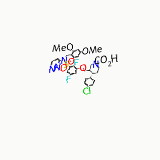 COc1ccc(CN(c2cccnn2)S(=O)(=O)c2cc(F)cc(OCC3CN(C(=O)O)CC[C@@H]3c3ccc(Cl)cc3)c2F)c(OC)c1